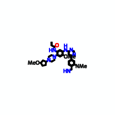 C=CC(=O)Nc1cc(Nc2cc(-c3ccc(C=N)c(NC)c3)ncn2)c(OC)cc1N1CCN(C2CCC(OC)C2)CC1